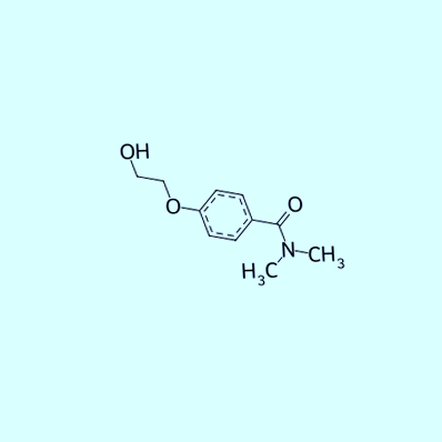 CN(C)C(=O)c1ccc(OCCO)cc1